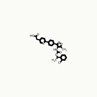 Cc1onc(-c2ccc(-c3ccc(CC(=O)O)cn3)cc2)c1NC(=O)OC(C)c1ccccc1Cl